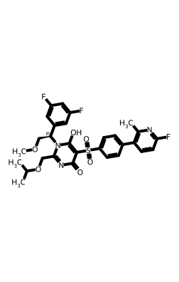 COC[C@@H](c1cc(F)cc(F)c1)n1c(COC(C)C)nc(=O)c(S(=O)(=O)c2ccc(-c3ccc(F)nc3C)cc2)c1O